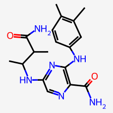 Cc1ccc(Nc2nc(NC(C)C(C)C(N)=O)cnc2C(N)=O)cc1C